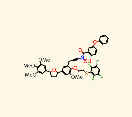 COc1cc(C2CCC(c3cc(OC)c(OC)c(OC)c3)O2)cc(CC#CN(O)C(=O)c2cccc(Oc3ccccc3)c2)c1OCCSc1c(F)c(F)cc(F)c1F